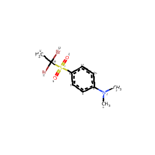 CN(C)c1ccc(S(=O)(=O)C(C)(Br)Br)cc1